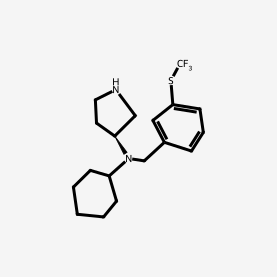 FC(F)(F)Sc1cccc(CN(C2CCCCC2)[C@H]2CCNC2)c1